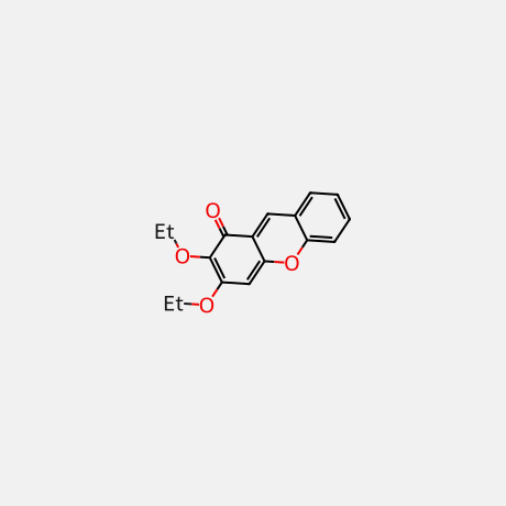 CCOc1cc2oc3ccccc3cc-2c(=O)c1OCC